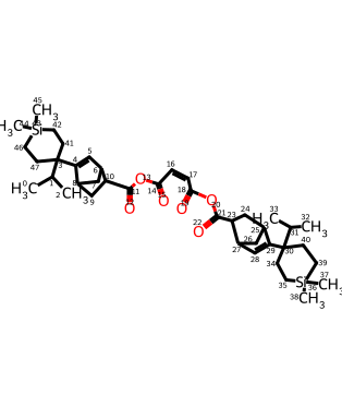 CC(C)C1(C2=CC3CC2CC3C(=O)OC(=O)/C=C\C(=O)OC(=O)C2CC3CC2C=C3C2(C(C)C)CC[Si](C)(C)CC2)CC[Si](C)(C)CC1